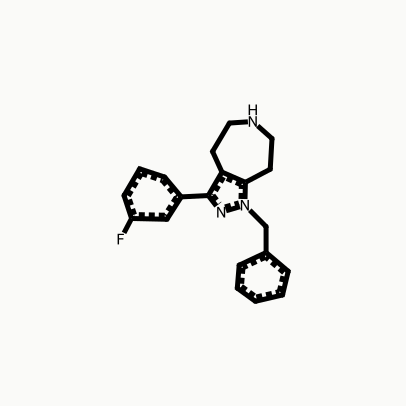 Fc1cccc(-c2nn(Cc3ccccc3)c3c2CCNCC3)c1